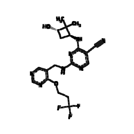 CC1(C)[C@@H](Nc2nc(NCc3cncnc3OCCC(F)(F)F)ncc2C#N)C[C@@H]1O